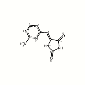 Nc1nccc(/C=C2\NC(=O)NC2=O)n1